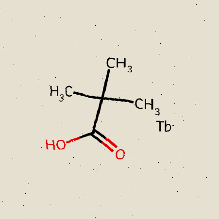 CC(C)(C)C(=O)O.[Tb]